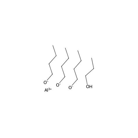 CCCC[O-].CCCC[O-].CCCC[O-].CCCO.[Al+3]